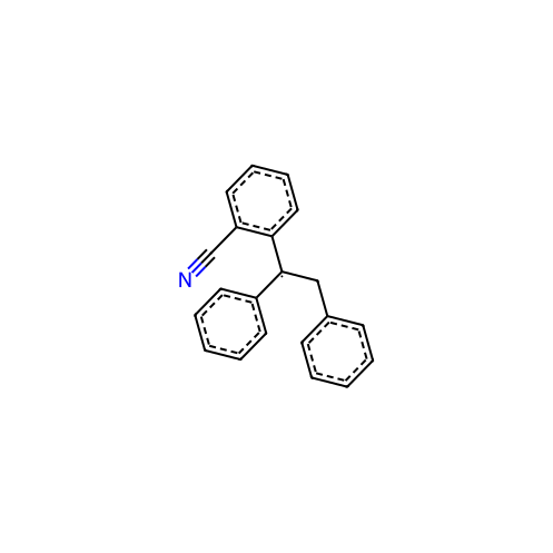 N#Cc1ccccc1[C](Cc1ccccc1)c1ccccc1